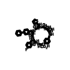 O=C(O)[C@@H]1Cc2ccc(cc2)NC(=O)[C@H](O)[C@@H](O)C(=O)N[C@H](Cc2cccs2)C(=O)N[C@@H](Cc2ccc(-c3ccccc3)cc2)C(=O)N[C@H](Cc2ccc(F)cc2)C(=O)N1